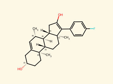 C[C@H]1C=C2C[C@@H](O)CC[C@]2(C)[C@H]2CC[C@]3(C)C(c4ccc(F)cc4)=C(O)C[C@H]3[C@H]12